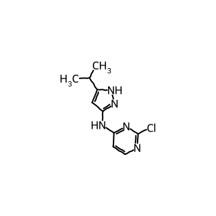 CC(C)c1cc(Nc2ccnc(Cl)n2)n[nH]1